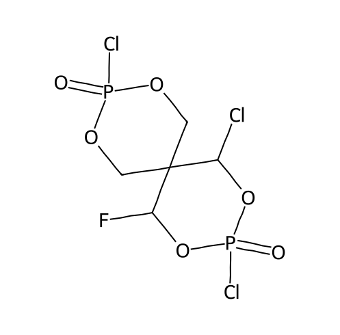 O=P1(Cl)OCC2(CO1)C(F)OP(=O)(Cl)OC2Cl